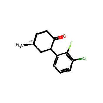 C[C@H]1CCC(=O)C(c2cccc(Cl)c2F)C1